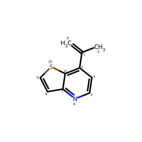 C=C(C)c1ccnc2ccsc12